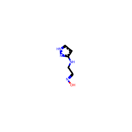 ON=CCNc1cc[nH]n1